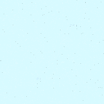 CC(C)CC(C)(C)CCCC(C)C(C)(C)C